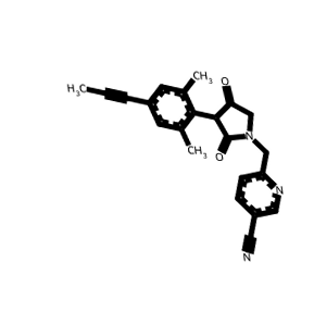 CC#Cc1cc(C)c(C2C(=O)CN(Cc3ccc(C#N)cn3)C2=O)c(C)c1